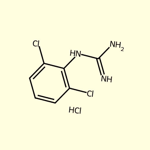 Cl.N=C(N)Nc1c(Cl)cccc1Cl